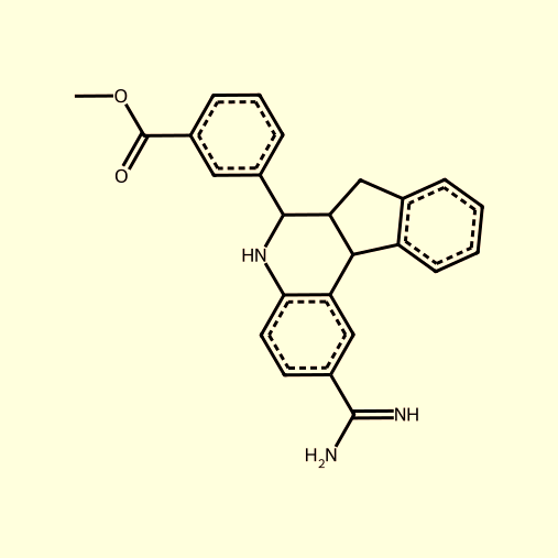 COC(=O)c1cccc(C2Nc3ccc(C(=N)N)cc3C3c4ccccc4CC23)c1